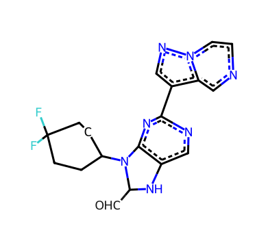 O=CC1Nc2cnc(-c3cnn4ccncc34)nc2N1C1CCC(F)(F)CC1